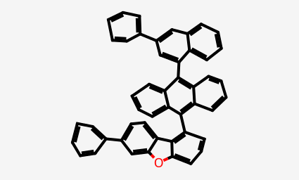 c1ccc(-c2cc(-c3c4ccccc4c(-c4cccc5oc6cc(-c7ccccc7)ccc6c45)c4ccccc34)c3ccccc3c2)cc1